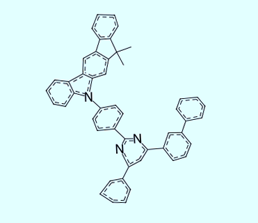 CC1(C)c2ccccc2-c2cc3c4ccccc4n(-c4ccc(-c5nc(-c6ccccc6)cc(-c6cccc(-c7ccccc7)c6)n5)cc4)c3cc21